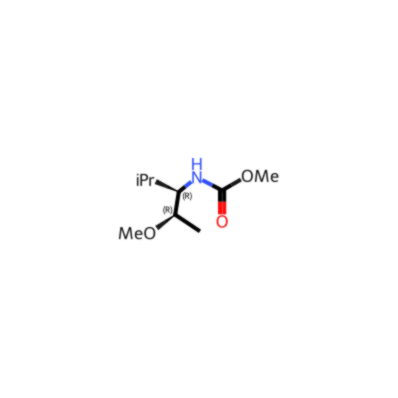 COC(=O)N[C@H](C(C)C)[C@@H](C)OC